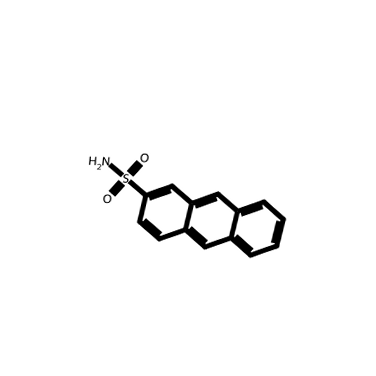 NS(=O)(=O)c1ccc2cc3ccccc3cc2c1